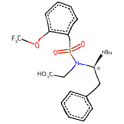 CCCC[C@@H](Cc1ccccc1)N(CC(=O)O)S(=O)(=O)c1ccccc1OC(F)(F)F